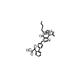 CCCCNC(=O)c1c(C(O)C(C)C)ncn1Cc1ccc(-c2ccccc2C(=O)C(=O)O)cc1